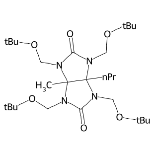 CCCC12N(COC(C)(C)C)C(=O)N(COC(C)(C)C)C1(C)N(COC(C)(C)C)C(=O)N2COC(C)(C)C